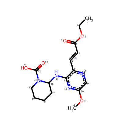 CCOC(=O)/C=C/c1ncc(OC)nc1NC1CCCCN1C(=O)O